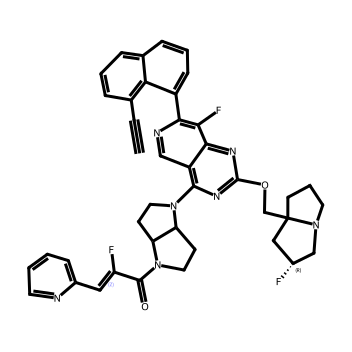 C#Cc1cccc2cccc(-c3ncc4c(N5CCC6C5CCN6C(=O)/C(F)=C/c5ccccn5)nc(OCC56CCCN5C[C@H](F)C6)nc4c3F)c12